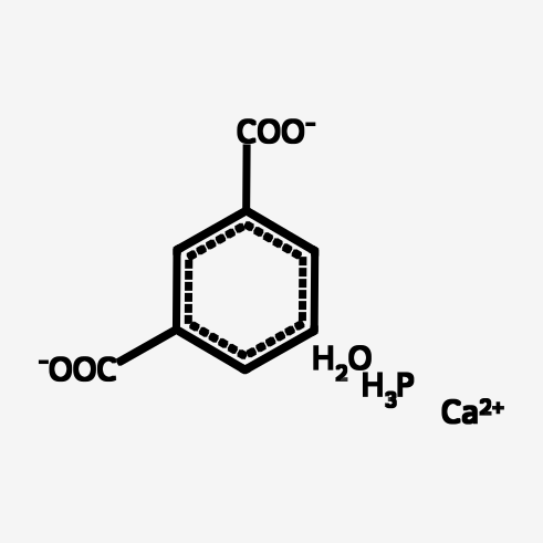 O.O=C([O-])c1cccc(C(=O)[O-])c1.P.[Ca+2]